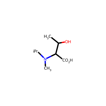 CC(O)C(C(=O)O)N(C)C(C)C